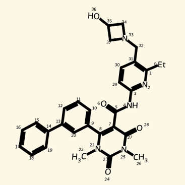 CCc1nc(NC(=O)c2c(-c3cccc(-c4ccccc4)c3)n(C)c(=O)n(C)c2=O)ccc1CN1CC(O)C1